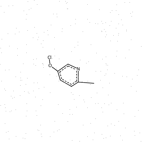 Cc1ccc(OCl)cn1